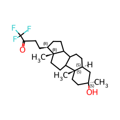 C[C@]1(O)CC[C@]2(C)C3CC[C@@]4(C)C(CC[C@@H]4CCC(=O)C(F)(F)F)C3CC[C@H]2C1